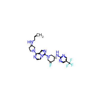 C=CCN[C@@H]1CCN(c2nccn3c(N4C[C@H](F)C[C@@H](Nc5ncc(C(F)(F)F)cn5)C4)ncc23)C1